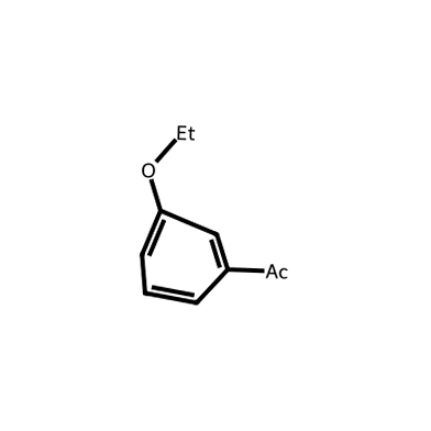 [CH2]C(=O)c1cccc(OCC)c1